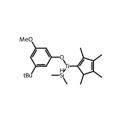 COc1cc([O][Ti]([C]2=C(C)C(C)=C(C)C2C)[SiH](C)C)cc(C(C)(C)C)c1